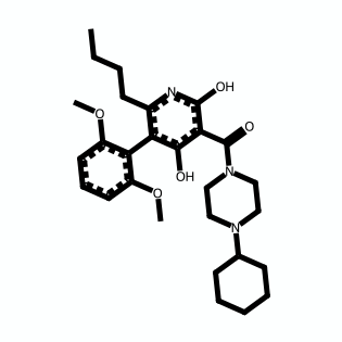 CCCCc1nc(O)c(C(=O)N2CCN(C3CCCCC3)CC2)c(O)c1-c1c(OC)cccc1OC